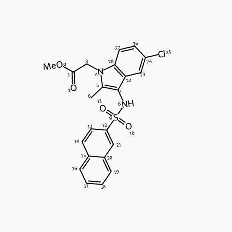 COC(=O)Cn1c(C)c(NS(=O)(=O)c2ccc3ccccc3c2)c2cc(Cl)ccc21